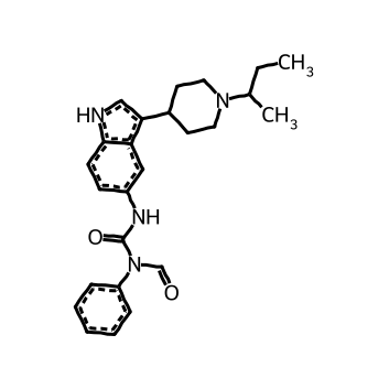 CCC(C)N1CCC(c2c[nH]c3ccc(NC(=O)N(C=O)c4ccccc4)cc23)CC1